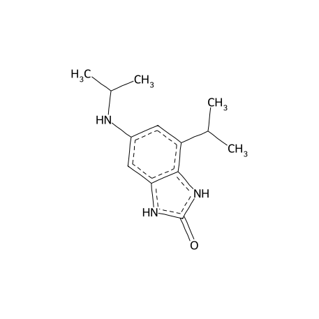 CC(C)Nc1cc(C(C)C)c2[nH]c(=O)[nH]c2c1